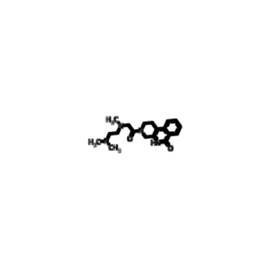 CN(C)CCN(C)CC(=O)N1CCc2c([nH]c(=O)c3ccccc23)C1